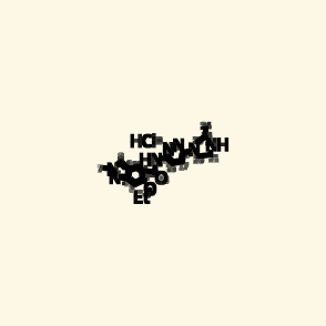 CCOc1cc2nn(C)cc2cc1C(=O)Nc1ccc(N2CCNC(C)C2)nn1.Cl